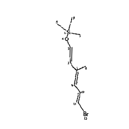 CC(/C=C/O[Si](C)(C)C)=C\C=C\Br